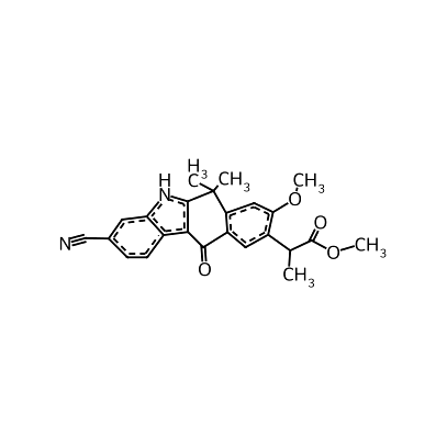 COC(=O)C(C)c1cc2c(cc1OC)C(C)(C)c1[nH]c3cc(C#N)ccc3c1C2=O